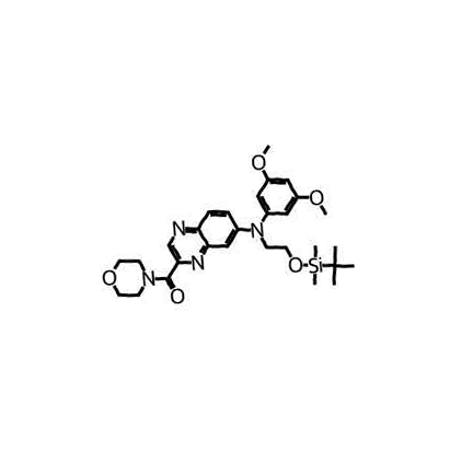 COc1cc(OC)cc(N(CCO[Si](C)(C)C(C)(C)C)c2ccc3ncc(C(=O)N4CCOCC4)nc3c2)c1